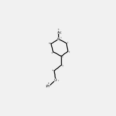 CC(=O)N1CCC(CCOC(C)C)CC1